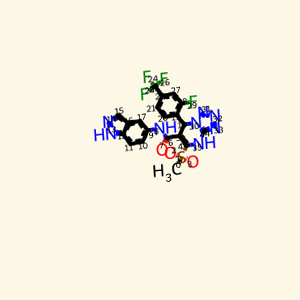 CS(=O)(=O)C1=C(C(=O)Nc2ccc3[nH]ncc3c2)C(c2ccc(C(F)(F)F)cc2F)n2nnnc2N1